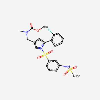 CNS(=O)(=O)Nc1cccc(S(=O)(=O)n2cc(CN(C)C(=O)OC(C)(C)C)cc2-c2ccccc2F)c1